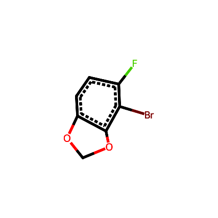 Fc1ccc2c(c1Br)OCO2